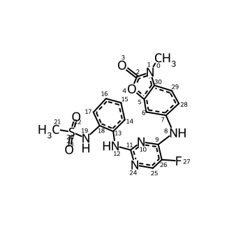 Cn1c(=O)oc2cc(Nc3nc(Nc4ccccc4NS(C)(=O)=O)ncc3F)ccc21